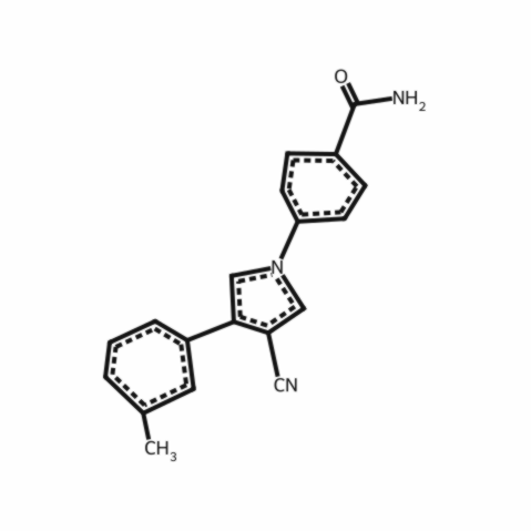 Cc1cccc(-c2cn(-c3ccc(C(N)=O)cc3)cc2C#N)c1